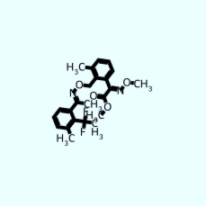 CO/N=C(/C(=O)OC)c1cccc(C)c1CO/N=C(\C)c1cccc(C)c1C(C)(F)F